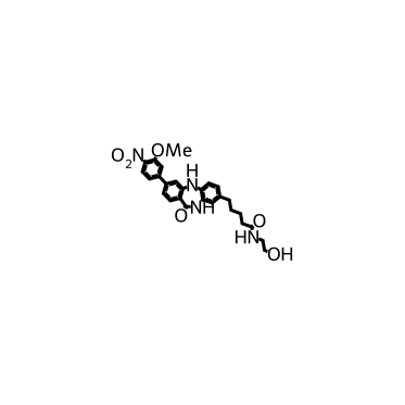 COc1cc(-c2ccc3c(c2)Nc2ccc(CCCCC(=O)NCCO)cc2NC3=O)ccc1[N+](=O)[O-]